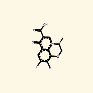 Cc1c(F)cc2c(=O)c(C(=O)O)cn3c2c1OC[C@@H]3C